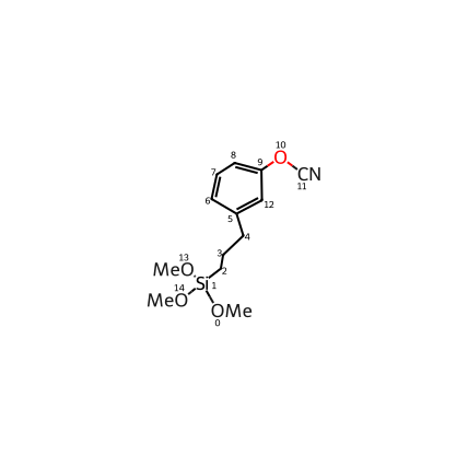 CO[Si](CCCc1cccc(OC#N)c1)(OC)OC